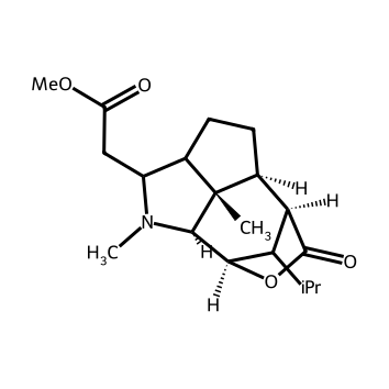 COC(=O)CC1C2CC[C@H]3[C@H]4C(=O)O[C@H](C4C(C)C)[C@@H](N1C)[C@]23C